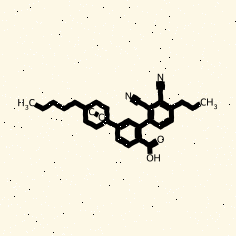 CCCCCC12CCC(c3ccc(C(=O)O)c(-c4ccc(CCC)c(C#N)c4C#N)c3)(CC1)CC2